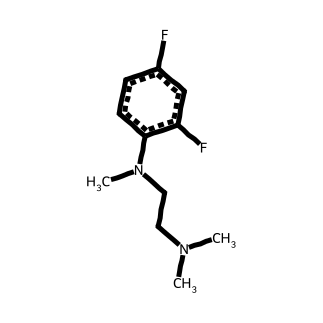 CN(C)CCN(C)c1ccc(F)cc1F